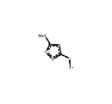 CCSc1nc(SC)ns1